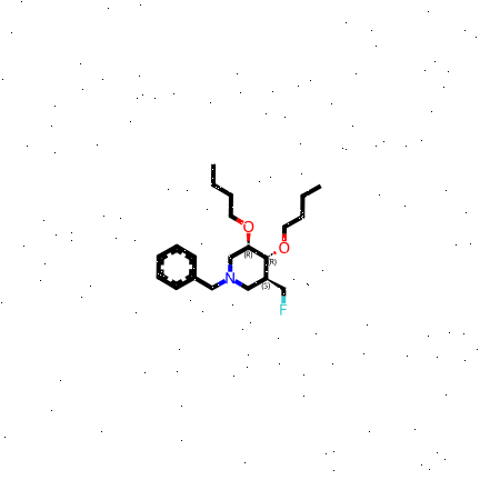 CCCCO[C@@H]1[C@@H](CF)CN(Cc2ccccc2)C[C@H]1OCCCC